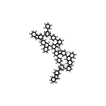 c1ccc(-c2nc(-c3ccc(-c4ccc(-c5cc(-c6cc7ccccc7c7ccccc67)cc6c5oc5cccc(-c7ccc(-c8nc(-c9ccccc9)nc(-c9ccc%10sc%11ccccc%11c%10c9)n8)cc7)c56)c5oc6ccc(-c7cc8ccccc8c8ccccc78)cc6c45)cc3)nc(-c3ccc4c(c3)sc3ccccc34)n2)cc1